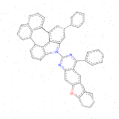 c1ccc(-c2cc3c4c5c(cccc5n(-c5nc(-c6ccccc6)c6cc7c(cc6n5)oc5ccccc57)c4c2)-c2cccc4cccc-3c24)cc1